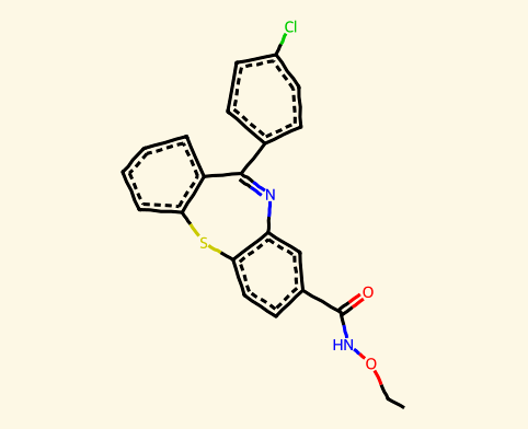 CCONC(=O)c1ccc2c(c1)N=C(c1ccc(Cl)cc1)c1ccccc1S2